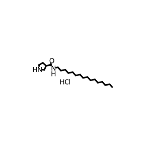 CCCCCCCCCCCCCCCCNC(=O)C1CCNC1.Cl